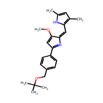 COC1=CC(c2ccc(COC(C)(C)C)cc2)=N/C1=C/c1[nH]c(C)cc1C